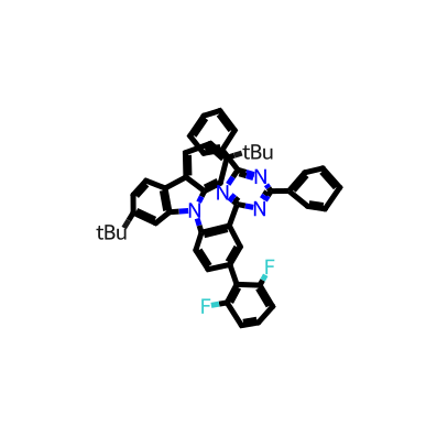 CC(C)(C)c1ccc2c3ccc(C(C)(C)C)cc3n(-c3ccc(-c4c(F)cccc4F)cc3-c3nc(-c4ccccc4)nc(-c4ccccc4)n3)c2c1